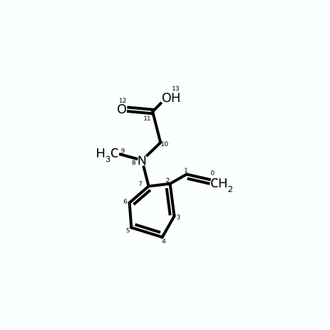 C=Cc1ccccc1N(C)CC(=O)O